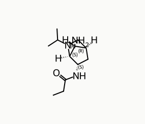 CCC(=O)N[C@H]1C[C@@H]2CN(C(C)C)[C@H]1[C@@H]2N